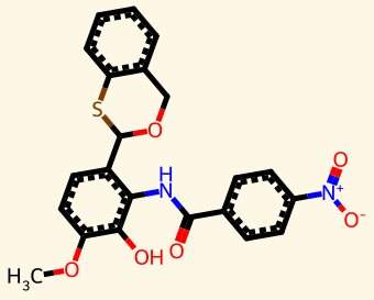 COc1ccc(C2OCc3ccccc3S2)c(NC(=O)c2ccc([N+](=O)[O-])cc2)c1O